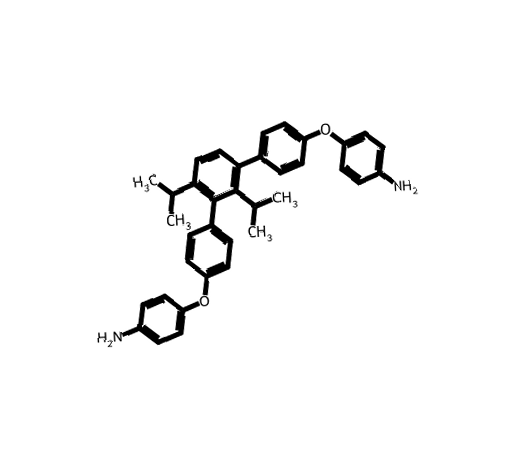 CC(C)c1ccc(-c2ccc(Oc3ccc(N)cc3)cc2)c(C(C)C)c1-c1ccc(Oc2ccc(N)cc2)cc1